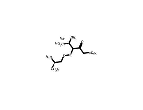 CCCCCCCCCCCC(=O)C(SSC[C@H](N)C(=O)O)[C@H](N)C(=O)O.[Na]